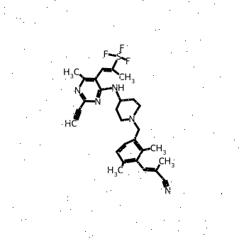 C#Cc1nc(C)c(/C=C(\C)S(F)(F)F)c(NC2CCN(Cc3ccc(C)c(/C=C(\C)C#N)c3C)CC2)n1